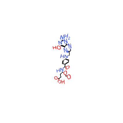 Nc1nc(O)c2nc(CNc3ccc(C(=O)NC(CCC(=O)O)OC=O)cc3)cnc2n1